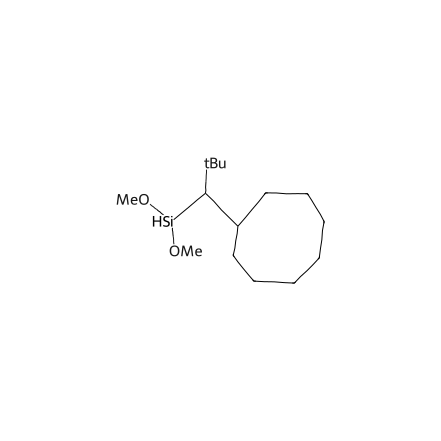 CO[SiH](OC)C(C1CCCCCCC1)C(C)(C)C